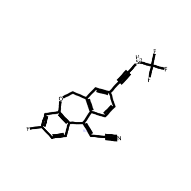 N#C/C=C1\c2ccc(C#C[SiH2]C(F)(F)F)cc2COc2cc(F)ccc21